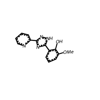 COc1cccc(-c2nc(-c3ccccn3)n[nH]2)c1O